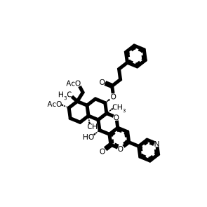 CC(=O)OCC1(C)C2C[C@H](OC(=O)CCc3ccccc3)[C@@]3(C)Oc4cc(-c5cccnc5)oc(=O)c4[C@H](O)C3[C@@]2(C)CC[C@@H]1OC(C)=O